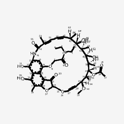 CCN(CC)C(=O)COc1cc2c(O)c3c(O)c(C)c4c(c13)C(=O)[C@@](C)(O/C=C\[C@H](OC)[C@@H](C)[C@@H](OC(C)=O)[C@H](C)[C@H](O)[C@H](C)[C@@H](O)[C@@H](C)/C=C\C=C(\C)C(=O)N2)O4